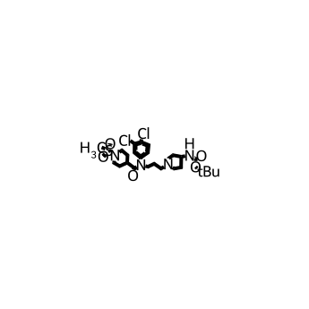 CC(C)(C)OC(=O)NC1CCN(CCCN(C(=O)C2CCN(S(C)(=O)=O)CC2)c2ccc(Cl)c(Cl)c2)CC1